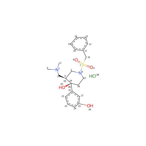 CN(C)C[C@H]1CN(S(=O)(=O)Cc2ccccc2)CC[C@]1(O)c1cccc(O)c1.Cl